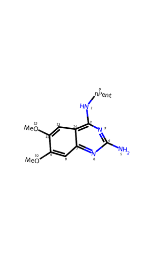 CCCCCNc1nc(N)nc2cc(OC)c(OC)cc12